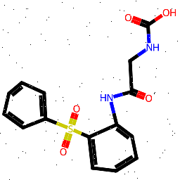 O=C(O)NCC(=O)Nc1ccccc1S(=O)(=O)c1ccccc1